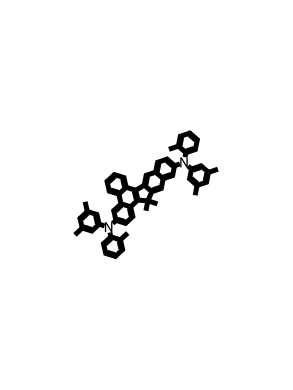 Cc1cc(C)cc(N(c2ccc3cc4c(cc3c2)C(C)(C)c2c-4c3ccccc3c3cc(N(c4cc(C)cc(C)c4)c4ccccc4C)ccc23)c2ccccc2C)c1